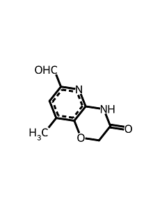 Cc1cc(C=O)nc2c1OCC(=O)N2